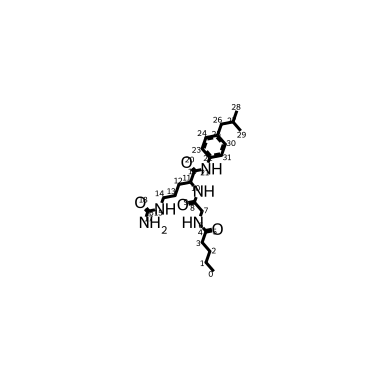 CCCCC(=O)NCC(=O)NC(CCCNC(N)=O)C(=O)Nc1ccc(CC(C)C)cc1